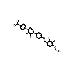 CCOc1ccc(COc2ccc(-c3ccc(-c4ccc(C(C)O)cc4)c(F)c3F)cc2)c(F)c1F